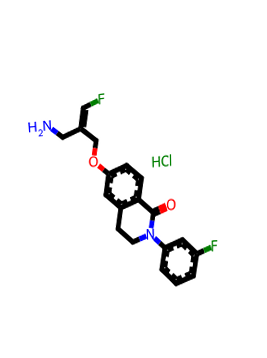 Cl.NC/C(=C/F)COc1ccc2c(c1)CCN(c1cccc(F)c1)C2=O